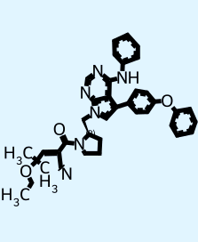 CCOC(C)(C)C=C(C#N)C(=O)N1CCC[C@@H]1Cn1cc(-c2ccc(Oc3ccccc3)cc2)c2c(Nc3ccccc3)ncnc21